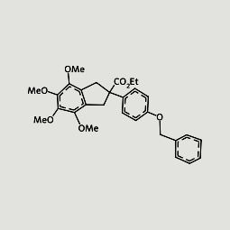 CCOC(=O)C1(c2ccc(OCc3ccccc3)cc2)Cc2c(c(OC)c(OC)c(OC)c2OC)C1